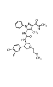 CNC(=O)c1nn(-c2ccccc2)c(NC(=O)N[C@H]2CN(CCOC)C[C@@H]2c2ccc(Cl)c(F)c2)c1C